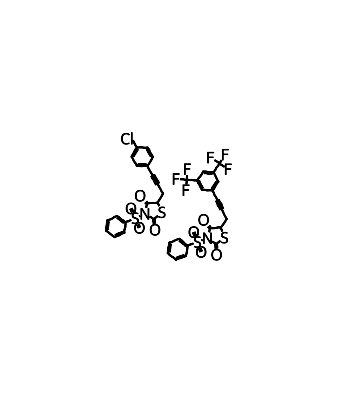 O=C1SC(CC#Cc2cc(C(F)(F)F)cc(C(F)(F)F)c2)C(=O)N1S(=O)(=O)c1ccccc1.O=C1SC(CC#Cc2ccc(Cl)cc2)C(=O)N1S(=O)(=O)c1ccccc1